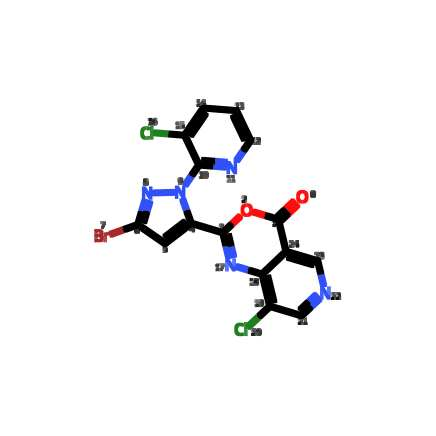 O=c1oc(-c2cc(Br)nn2-c2ncccc2Cl)nc2c(Cl)cncc12